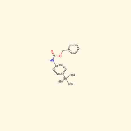 CCC[CH2][Sn]([CH2]CCC)([CH2]CCC)[c]1ccc(NC(=O)OCc2ccccc2)cc1